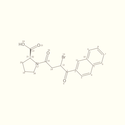 O=C(c1ccc2ccccc2c1)C(Br)CC(=O)N1CCC[C@H]1C(=O)O